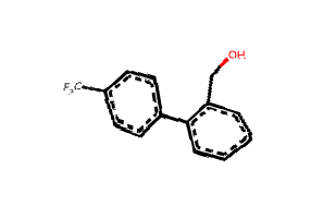 OCc1ccccc1-c1ccc(C(F)(F)F)cc1